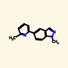 Cc1cccc(-c2ccc3c(cnn3C)c2)n1